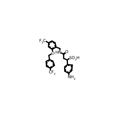 Nc1ccc(C(CC(=O)NCc2ccc(C(F)(F)F)cc2OCc2ccc(C(F)(F)F)cc2)S(=O)(=O)O)cc1